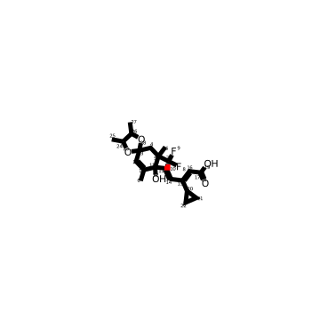 CC1=CC2(CC(C)(C(F)(F)F)C1(O)C=CC(=CC(=O)O)C1CC1)OC(C)C(C)O2